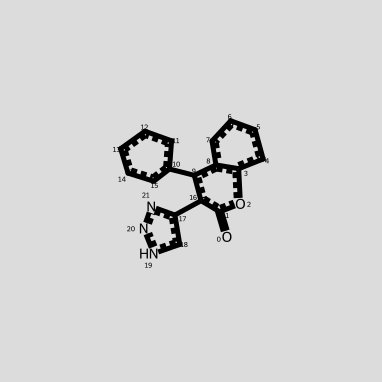 O=c1oc2ccccc2c(-c2ccccc2)c1-c1c[nH]nn1